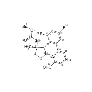 CC(C)(C)OC(=O)N[C@@]1(C)CCN(c2c(C=O)cncc2-c2cc(F)cc(F)c2)C1